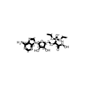 CCOP(=O)(OCC)C(OC[C@H]1O[C@@H](n2cnc3c(N)ncnc32)[C@H](O)[C@@H]1O)C(=O)NO